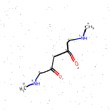 CNCC(=O)CC(=O)CNC